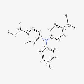 CCC(C)c1ccc(N(c2ccc(C)cc2)c2ccc(C(C)C)cc2)cc1